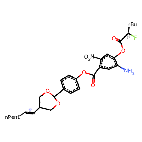 CCCCC/C=C/C1COC(c2ccc(OC(=O)c3cc(N)c(OC(=O)[C@H](F)CCCC)cc3[N+](=O)[O-])cc2)OC1